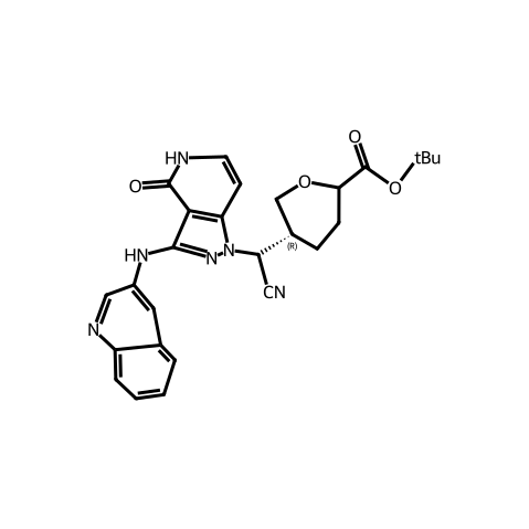 CC(C)(C)OC(=O)C1CC[C@H](C(C#N)n2nc(Nc3cnc4ccccc4c3)c3c(=O)[nH]ccc32)CO1